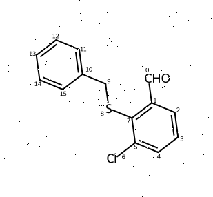 O=Cc1cccc(Cl)c1SCc1ccccc1